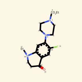 CCOC(=O)N1CCN(c2cc3c(cc2F)C(=O)CCN3CC)CC1